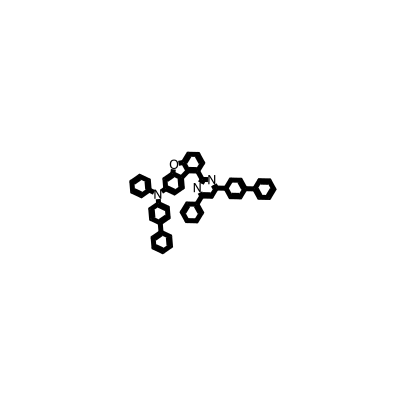 C1=CC(c2cc(C3C=CC(c4ccccc4)=CC3)nc(-c3cccc4oc5cc(N(c6ccccc6)c6ccc(-c7ccccc7)cc6)ccc5c34)n2)=CCC1